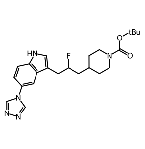 CC(C)(C)OC(=O)N1CCC(CC(F)Cc2c[nH]c3ccc(-n4cnnc4)cc23)CC1